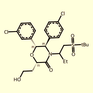 CCC(CS(=O)(=O)C(C)(C)C)N1C(=O)[C@H](CCO)O[C@H](c2cccc(Cl)c2)[C@H]1c1ccc(Cl)cc1